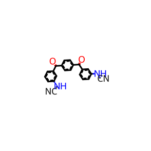 N#CNc1cccc(C(=O)c2ccc(C(=O)c3cccc(NC#N)c3)cc2)c1